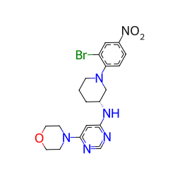 O=[N+]([O-])c1ccc(N2CCC[C@@H](Nc3cc(N4CCOCC4)ncn3)C2)c(Br)c1